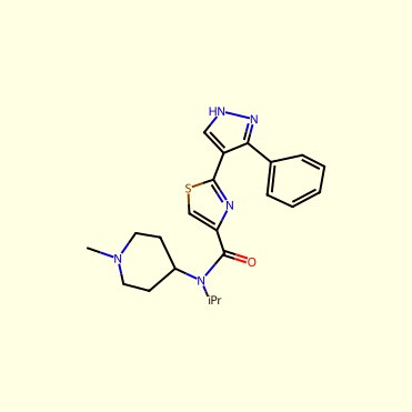 CC(C)N(C(=O)c1csc(-c2c[nH]nc2-c2ccccc2)n1)C1CCN(C)CC1